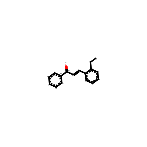 CCc1ccccc1C=CC(=O)c1ccccc1